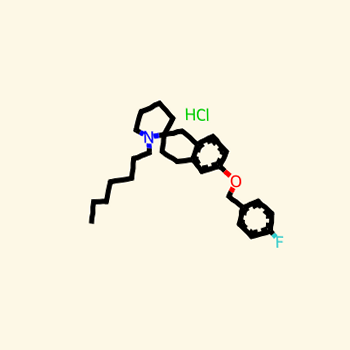 CCCCCCCN1CCCCC12CCc1cc(OCc3ccc(F)cc3)ccc1C2.Cl